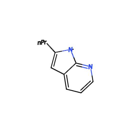 CCCC1=Cc2cccnc2[N]1